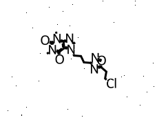 Cn1c(=O)c2c(ncn2CCCc2noc(CCCl)n2)n(C)c1=O